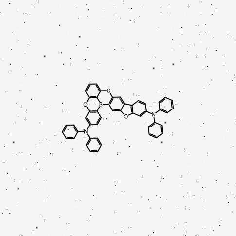 c1ccc(N(c2ccccc2)c2ccc3c(c2)Oc2cccc4c2B3c2cc3oc5cc(N(c6ccccc6)c6ccccc6)ccc5c3cc2O4)cc1